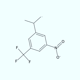 [CH2]C(C)c1cc([N+](=O)[O-])cc(C(F)(F)F)c1